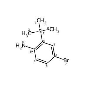 C[Si](C)(C)c1cc(Br)ccc1N